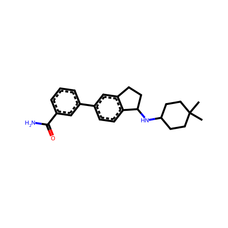 CC1(C)CCC(NC2CCc3cc(-c4cccc(C(N)=O)c4)ccc32)CC1